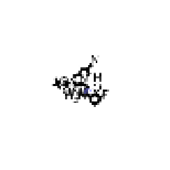 CC(C)(C)OC(=O)N1CC2CC(C#N)CN2C(/C=C(\N)c2cccc(F)c2O)=C1N